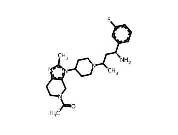 CC(=O)N1CCc2nc(C)n(C3CCN(C(C)C[C@H](N)c4cccc(F)c4)CC3)c2C1